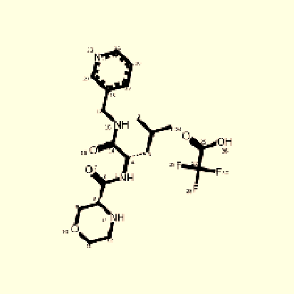 CC(C)C[C@H](NC(=O)[C@@H]1COCCN1)C(=O)NCc1cccnc1.O=C(O)C(F)(F)F